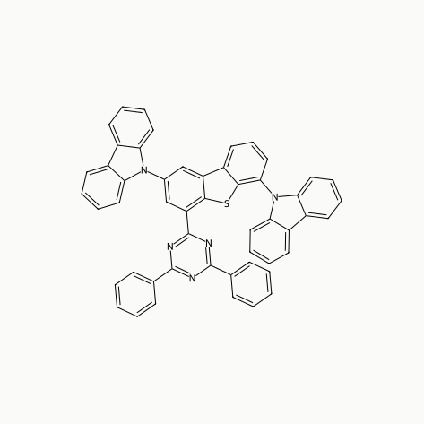 c1ccc(-c2nc(-c3ccccc3)nc(-c3cc(-n4c5ccccc5c5ccccc54)cc4c3sc3c(-n5c6ccccc6c6ccccc65)cccc34)n2)cc1